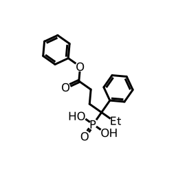 CCC(CCC(=O)Oc1ccccc1)(c1ccccc1)P(=O)(O)O